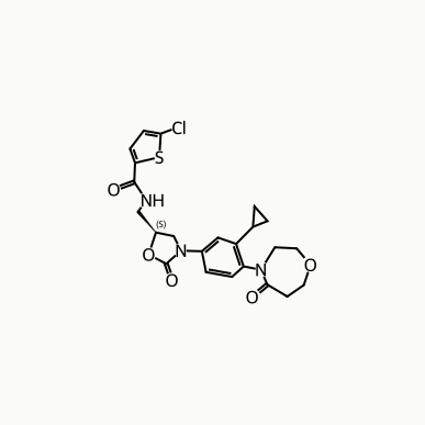 O=C(NC[C@H]1CN(c2ccc(N3CCOCCC3=O)c(C3CC3)c2)C(=O)O1)c1ccc(Cl)s1